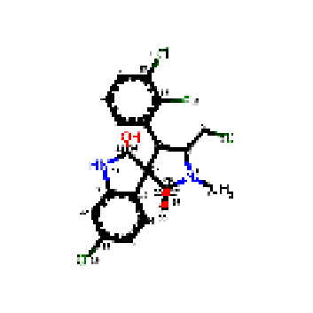 CN1C(CCl)C(c2cccc(Cl)c2F)C2(c3ccc(Cl)cc3N[C@@H]2O)C12CCCCC2